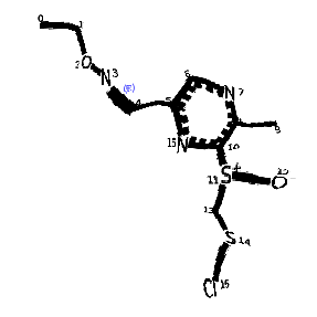 CCO/N=C/c1cnc(C)c([S+]([O-])CSCl)n1